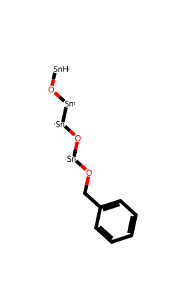 [SnH][O][Sn][Sn][O][Sn][O]Cc1ccccc1